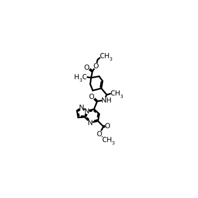 CCOC(=O)C1(C)CC=C(C(C)NC(=O)c2cc(C(=O)OC)nc3ccnn23)CC1